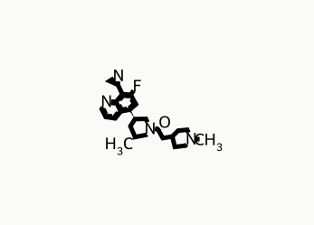 C[C@@H]1C[C@H](c2cc(F)c(C3C=N3)c3ncccc23)CN(C(=O)CC2CCN(C)CC2)C1